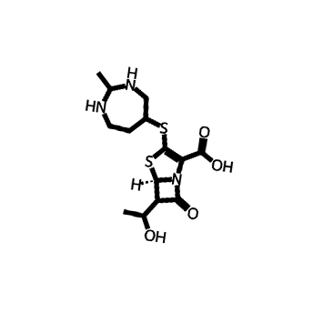 CC1NCCC(SC2=C(C(=O)O)N3C(=O)C(C(C)O)[C@H]3S2)CN1